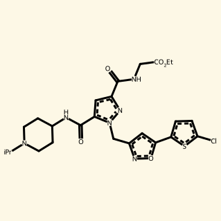 CCOC(=O)CNC(=O)c1cc(C(=O)NC2CCN(C(C)C)CC2)n(Cc2cc(-c3ccc(Cl)s3)on2)n1